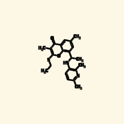 CCSc1oc2c(C(C)Nc3ccc(C)nc3C)cc(C)cc2c(=O)c1C